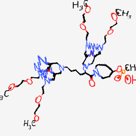 COCCOCCn1cc(CN(CCCCC(C(=O)N2CCC(OP(C)(=O)O)CC2)N(Cc2cn(CCOCCOC)nn2)Cc2cn(CCOCCOC)nn2)Cc2cn(CCOCCOC)nn2)nn1